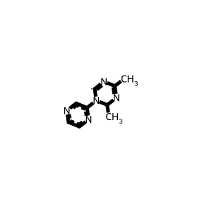 CC1=NC(C)N(c2cnccn2)[C]=N1